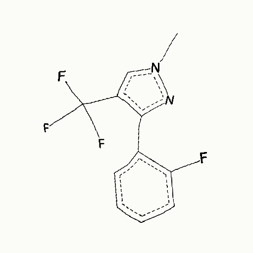 Cn1cc(C(F)(F)F)c(-c2ccccc2F)n1